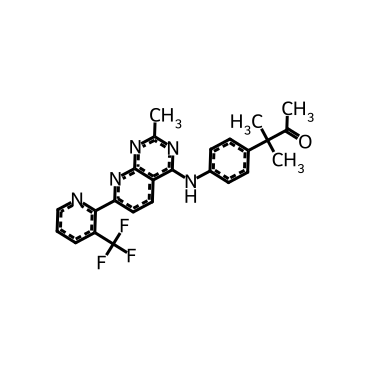 CC(=O)C(C)(C)c1ccc(Nc2nc(C)nc3nc(-c4ncccc4C(F)(F)F)ccc23)cc1